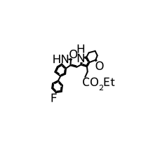 CCOC(=O)CCc1c(C=C2C(=O)Nc3ccc(-c4ccc(F)cc4)cc32)[nH]c2c1C(=O)CCC2